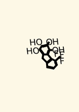 Oc1c(O)c(O)c2c(c1O)Cc1cccc(C(F)(F)F)c1-2